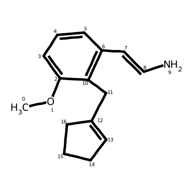 COc1cccc(C=CN)c1CC1=CCCC1